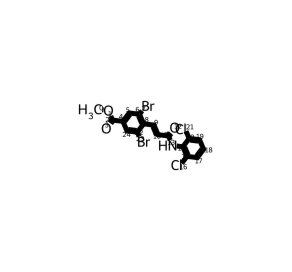 COC(=O)c1cc(Br)c(C=CC(=O)Nc2c(Cl)cccc2Cl)c(Br)c1